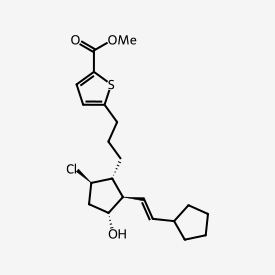 COC(=O)c1ccc(CCC[C@@H]2[C@@H](/C=C/C3CCCC3)[C@H](O)C[C@H]2Cl)s1